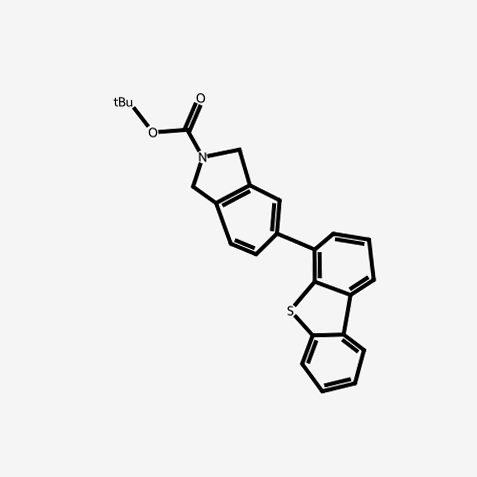 CC(C)(C)OC(=O)N1Cc2ccc(-c3cccc4c3sc3ccccc34)cc2C1